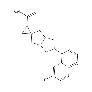 C=C(NC)C1CC12CC1CC(c3ccnc4ccc(F)cc34)CC1C2